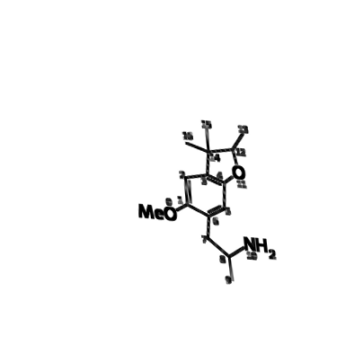 COc1cc2c(cc1CC(C)N)OC(C)C2(C)C